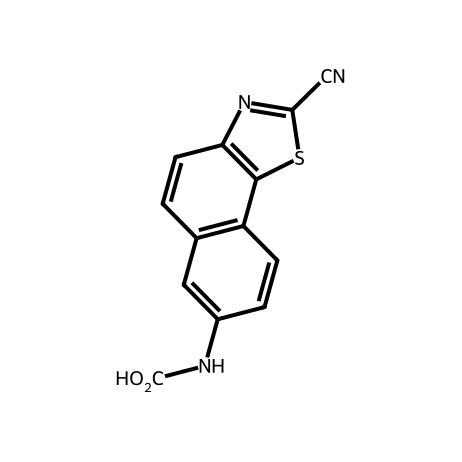 N#Cc1nc2ccc3cc(NC(=O)O)ccc3c2s1